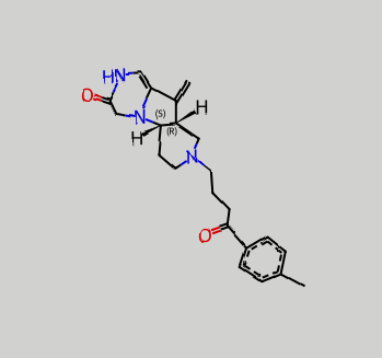 C=C1C2=CNC(=O)CN2[C@H]2CCN(CCCC(=O)c3ccc(C)cc3)C[C@@H]12